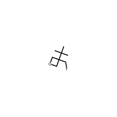 CC(C)(C)C1(CF)COC1